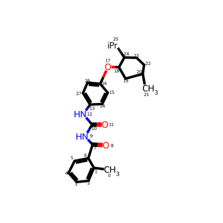 Cc1ccccc1C(=O)NC(=O)Nc1ccc(OC2CC(C)CCC2C(C)C)cc1